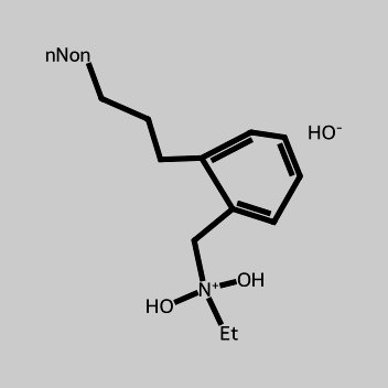 CCCCCCCCCCCCc1ccccc1C[N+](O)(O)CC.[OH-]